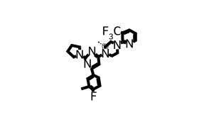 Cc1cc(-c2cc(N3CCN(c4ncccc4C(F)(F)F)C[C@H]3C)nc(N3CCCC3)n2)ccc1F